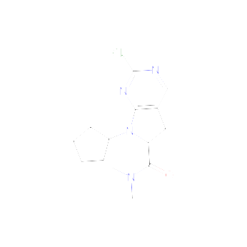 CN(C)C(=O)C1Cc2cnc(Cl)nc2N1C1CCCC1